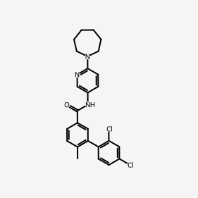 Cc1ccc(C(=O)Nc2ccc(N3CCCCCC3)nc2)cc1-c1ccc(Cl)cc1Cl